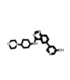 Oc1cncc(-c2ccc3ncnc(NC4CCC(N5CCOCC5)CC4)c3c2)c1